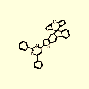 c1ccc(-c2cc(-c3cc4cc5c(cc4s3)-c3ccccc3C53c4ccccc4Oc4ccccc43)nc(-c3ccccc3)n2)cc1